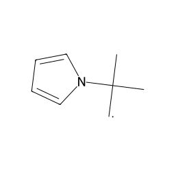 [CH2]C(C)(C)n1cccc1